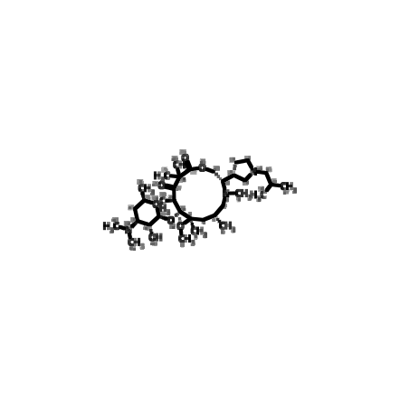 CO[C@]1(C)C[C@@H](C)CN(C)[C@@H]([C@@H]2CCN(CC(C)C)C2)COC(=O)C(C)(C)C(=O)[C@H](C)[C@H]1O[C@@H]1O[C@H](C)C[C@H](N(C)C)[C@H]1O